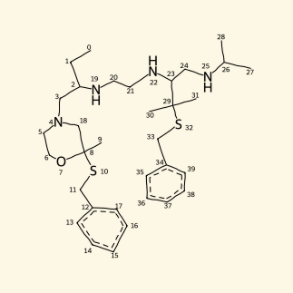 CCC(CN1CCOC(C)(SCc2ccccc2)C1)NCCNC(CNC(C)C)C(C)(C)SCc1ccccc1